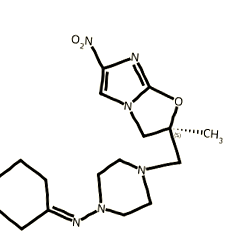 C[C@]1(CN2CCN(N=C3CCCCC3)CC2)Cn2cc([N+](=O)[O-])nc2O1